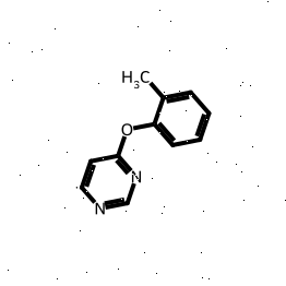 Cc1ccccc1Oc1c[c]ncn1